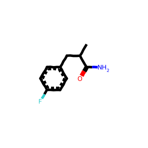 C[C](Cc1ccc(F)cc1)C(N)=O